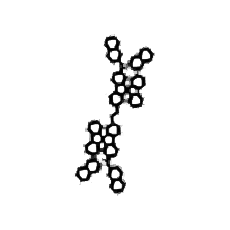 C(=C\c1ccc2c(c1)C1(c3ccccc3-c3ccccc31)c1cc(N(c3ccc4ccccc4c3)c3ccc4ccccc4c3)ccc1-2)/c1ccc2c(c1)C(c1ccccc1)(c1ccccc1)c1cc(N(c3ccc4ccccc4c3)c3ccc4ccccc4c3)ccc1-2